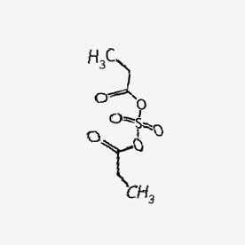 CCC(=O)OS(=O)(=O)OC(=O)CC